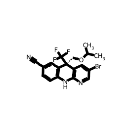 CC(C)OC[C@@]1(C(F)(F)F)c2cc(C#N)ccc2Nc2ncc(Br)cc21